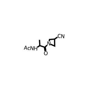 CC(=O)NC(C)C(=O)N1CC(C#N)C1